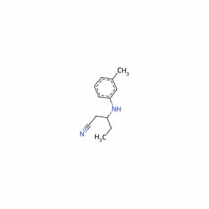 CCC(CC#N)Nc1cccc(C)c1